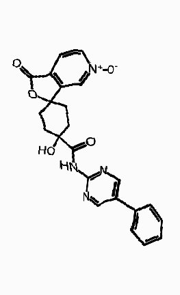 O=C1OC2(CCC(O)(C(=O)Nc3ncc(-c4ccccc4)cn3)CC2)c2c[n+]([O-])ccc21